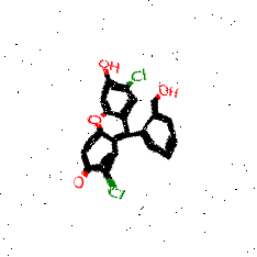 O=c1cc2oc3cc(O)c(Cl)cc3c(-c3ccccc3CO)c-2cc1Cl